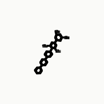 CC(C)(C)c1cc(-c2cc(C(C)(C)C)c(-c3ccc(-c4ccc(-c5ccccc5)cc4)cc3)c(C(C)(C)C)c2)cc(C(C)(C)C)c1